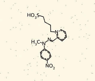 CN(N=Cc1cccc[n+]1CCCCS(=O)(=O)O)c1ccc([N+](=O)[O-])cc1